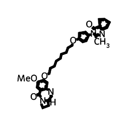 COc1cc2c(cc1OCCCCCCCCCOc1ccc(-n3c(C)nc4ccccc4c3=O)cc1)N=C[C@@H]1CCCN1C2=O